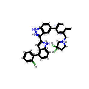 C=C/C(=C\C(=C/C)c1ccc2[nH]nc(-c3cc4c(-c5ccccc5F)cccc4[nH]3)c2c1)CN1CCC(F)(F)C1